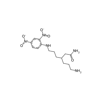 NCCCC(CCCNc1ccc([N+](=O)[O-])cc1[N+](=O)[O-])CC(N)=O